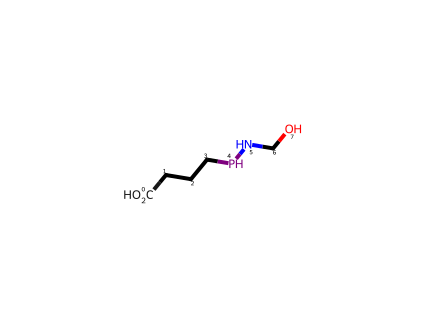 O=C(O)CCCPNCO